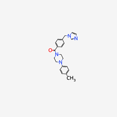 Cc1ccc(N2CCN(C(=O)c3ccc(Cn4ccnc4)cc3)CC2)cc1